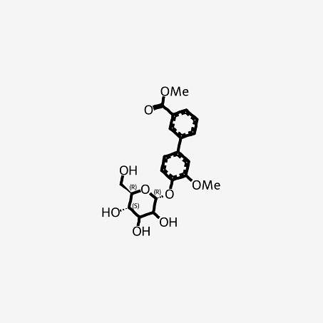 COC(=O)c1cccc(-c2ccc(O[C@H]3O[C@H](CO)[C@@H](O)C(O)C3O)c(OC)c2)c1